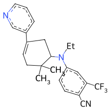 CCN(c1ccc(C#N)c(C(F)(F)F)c1)C1CC(c2cccnc2)=CCC1(C)C